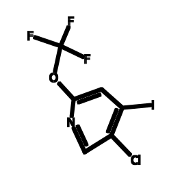 FC(F)(F)Oc1cc(I)c(Cl)cn1